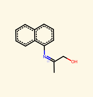 C/C(CO)=N/c1cccc2ccccc12